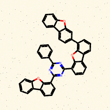 c1ccc(-c2nc(-c3cccc4c3oc3ccccc34)nc(-c3cccc4c3oc3c(-c5ccc6c(c5)oc5ccccc56)cccc34)n2)cc1